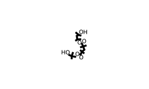 CC(C)(O)CC(C)(C)OC(=O)C(C)(C)CC(C)(C)C(=O)OCC(C)(C)CO